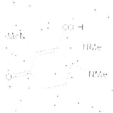 CNC1=C(C(=O)O)C(NC)(NC)CCC1=O